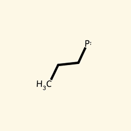 CCC[P]